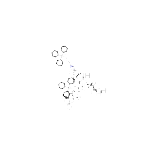 CC(C)(C)OC(=O)CC[C@@H](NC(=O)C[C@H](O)/C=C/CCSC(c1ccccc1)(c1ccccc1)c1ccccc1)C(=O)NC(CSC(c1ccccc1)(c1ccccc1)c1ccccc1)C(=O)NC1(C(O)CC(=O)O)CC1